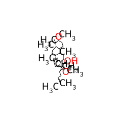 COC1CCC2(C)C(CCC3(C)C2CC(O)C2C([C@](C)(CCC=C(C)C)OC)CC[C@]23C)C1(C)C